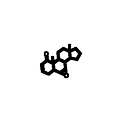 CC12CCCC1C1C3OC3C3CC=CC(=O)C3(C)C1CC2